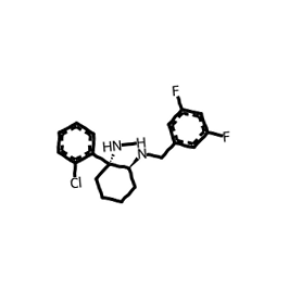 CN[C@@]1(c2ccccc2Cl)CCCC[C@@H]1NCc1cc(F)cc(F)c1